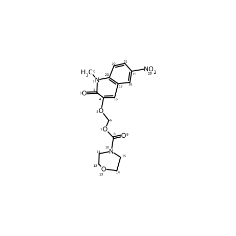 Cn1c(=O)c(OCOC(=O)N2CCOCC2)cc2cc([N+](=O)[O-])ccc21